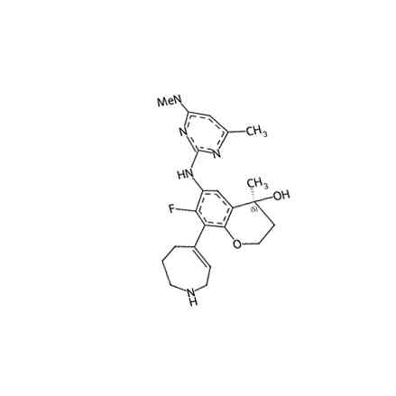 CNc1cc(C)nc(Nc2cc3c(c(C4=CCNCCC4)c2F)OCC[C@]3(C)O)n1